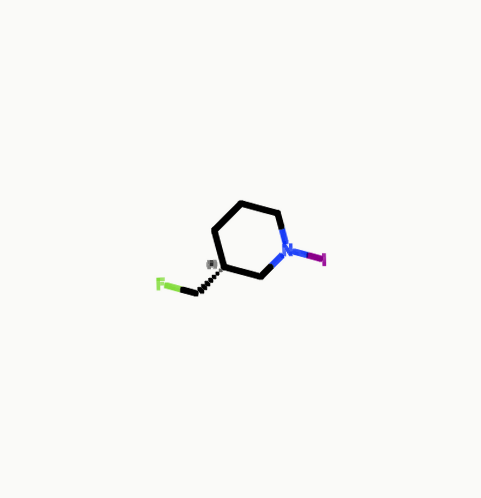 FC[C@@H]1CCCN(I)C1